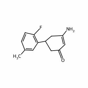 Cc1ccc(F)c(C2CC(=O)C=C(N)C2)c1